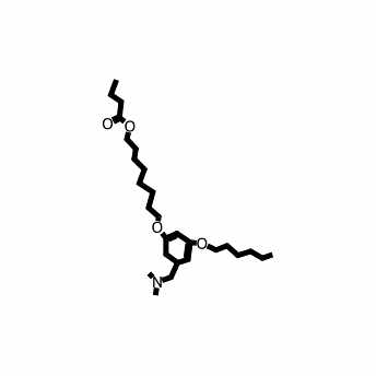 CCCCCCOC1=CC(CN(C)C)CC(OCCCCCCCCOC(=O)CCC)=C1